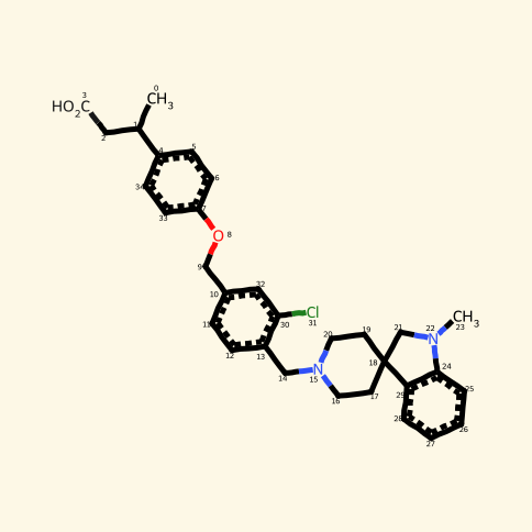 CC(CC(=O)O)c1ccc(OCc2ccc(CN3CCC4(CC3)CN(C)c3ccccc34)c(Cl)c2)cc1